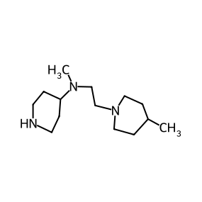 CC1CCN(CCN(C)C2CCNCC2)CC1